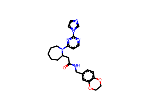 O=C(CC1CCCCCN1c1ccnc(-n2ccnc2)n1)NCc1ccc2c(c1)OCCO2